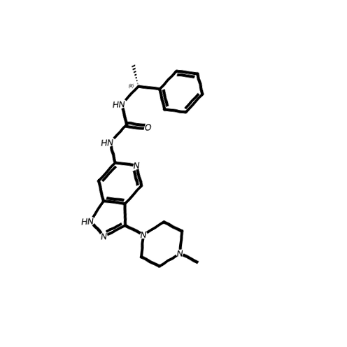 C[C@@H](NC(=O)Nc1cc2[nH]nc(N3CCN(C)CC3)c2cn1)c1ccccc1